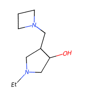 CCN1CC(O)C(CN2CCC2)C1